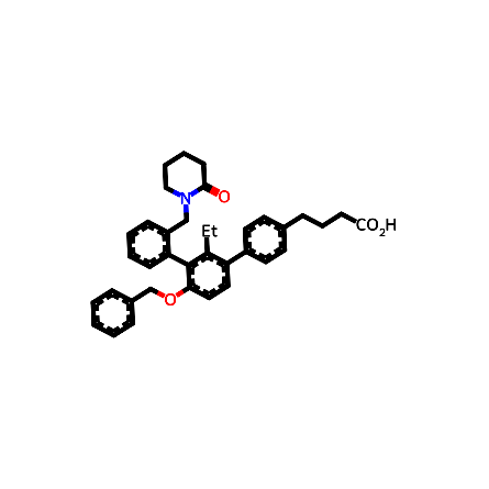 CCc1c(-c2ccc(CCCC(=O)O)cc2)ccc(OCc2ccccc2)c1-c1ccccc1CN1CCCCC1=O